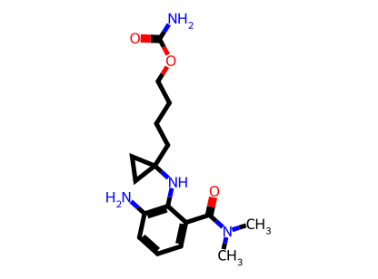 CN(C)C(=O)c1cccc(N)c1NC1(CCCCOC(N)=O)CC1